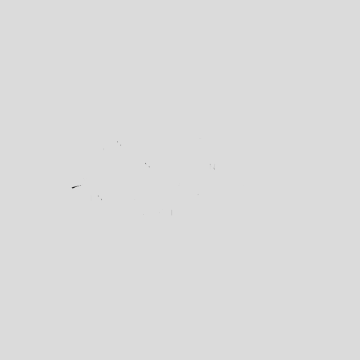 C[C@H]1CONCn2cc(C(O)N(C)CC3=C(F)C=C(F)C=CC3)c(=O)c(O)c2C(=O)CN1